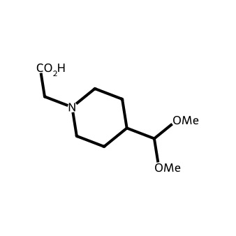 COC(OC)C1CCN(CC(=O)O)CC1